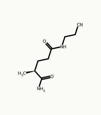 C[C@@H](C[CH]C(=O)NCCC#N)C(N)=O